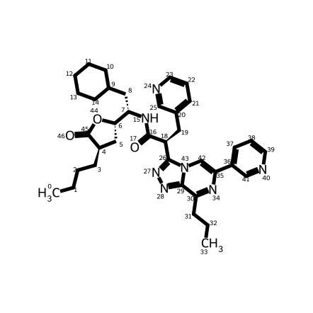 CCCC[C@@H]1C[C@@H]([C@H](CC2CCCCC2)NC(=O)[C@@H](Cc2cccnc2)c2nnc3c(CCC)nc(-c4cccnc4)cn23)OC1=O